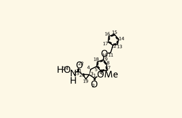 COC(=O)[C@]1(Cc2cccc(OCc3ccccc3)c2)C[C@H]1C(=O)NO